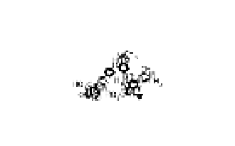 CS(=O)(=O)Nc1ccc([N+](=O)[O-])cc1Oc1ccccc1.C[C@@H]1CN(c2c(F)c(N)c3c(=O)c(C(=O)O)cn(C4CC4)c3c2F)C[C@H](C)N1.C[C@]1(Cn2ccnn2)[C@H](C(=O)O)N2C(=O)C[C@H]2S1(=O)=O